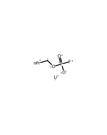 CCCCOP(=O)([O-])F.[Li+]